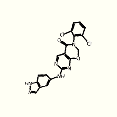 O=C1c2cnc(Nc3ccc4[nH]ncc4c3)nc2OCN1c1c(Cl)cccc1Cl